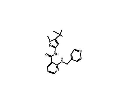 Cn1nc(NC(=O)c2cccnc2NCc2ccncc2)cc1C(C)(C)C